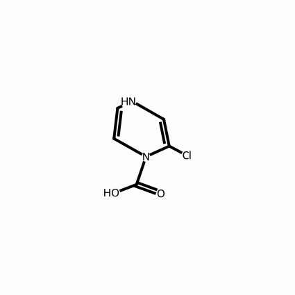 O=C(O)N1C=CNC=C1Cl